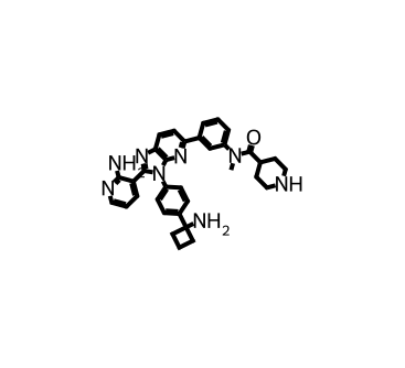 CN(C(=O)C1CCNCC1)c1cccc(-c2ccc3nc(-c4cccnc4N)n(-c4ccc(C5(N)CCC5)cc4)c3n2)c1